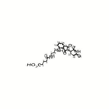 O=C(O)CCCC(=O)NCCCNc1cccc2c1C(=O)N(C1CCC(=O)NC1=O)C2=O